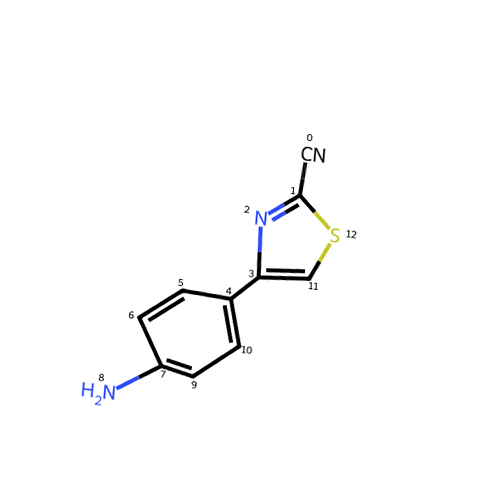 N#Cc1nc(-c2ccc(N)cc2)cs1